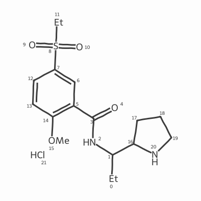 CCC(NC(=O)c1cc(S(=O)(=O)CC)ccc1OC)C1CCCN1.Cl